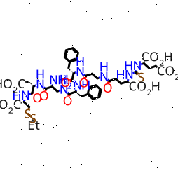 CCSSC[C@@H](NC(=O)[C@H](CC(=O)O)NC(=O)[C@@H](N)CNC(=O)[C@H](Cc1ccccc1)NC(=O)[C@H](Cc1ccccc1)NC(=O)CCNC(=O)CC[C@H](NC(=S)N[C@@H](CCC(=O)O)C(=O)O)C(=O)O)C(=O)O